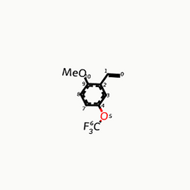 C=Cc1cc(OC(F)(F)F)ccc1OC